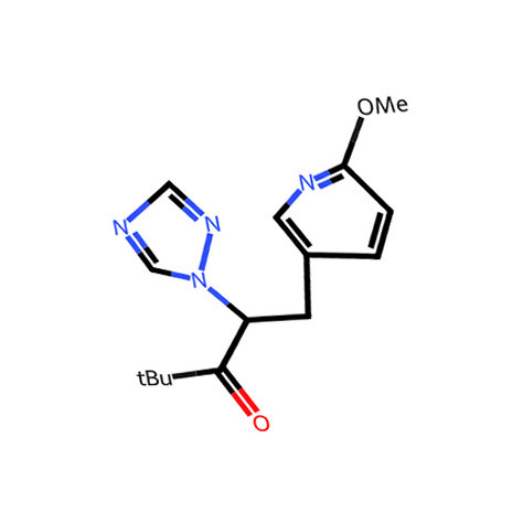 COc1ccc(CC(C(=O)C(C)(C)C)n2cncn2)cn1